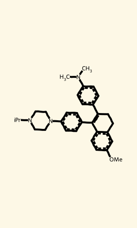 COc1ccc2c(c1)CCC(c1ccc(N(C)C)cc1)=C2c1ccc(N2CCN(C(C)C)CC2)cc1